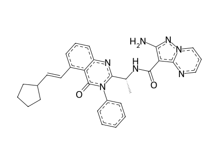 C[C@@H](NC(=O)c1c(N)nn2cccnc12)c1nc2cccc(/C=C/C3CCCC3)c2c(=O)n1-c1ccccc1